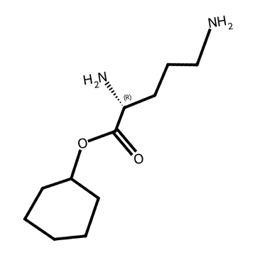 NCCC[C@@H](N)C(=O)OC1CCCCC1